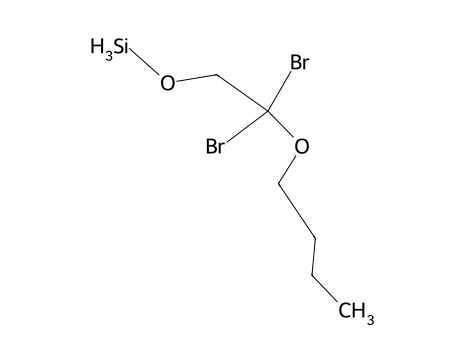 CCCCOC(Br)(Br)CO[SiH3]